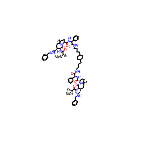 CC[C@H](NC)C(=O)N[C@@H]1C(=O)N2[C@@H](CC[C@@H]1CCNCc1ccccc1)CC[C@H]2C(=O)N[C@H](C(=O)NCCCCC1CCC(CCCCNC(=O)[C@@H](NC(=O)[C@@H]2CC[C@@H]3CC[C@H](CCNCc4ccccc4)[C@H](NC(=O)[C@H](CC)NC)C(=O)N32)c2ccccc2)CC1)c1ccccc1